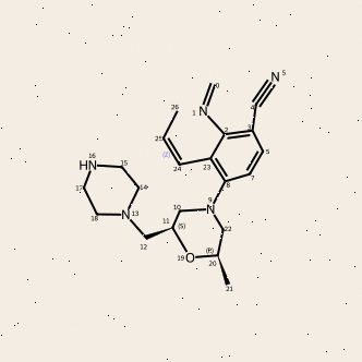 C=Nc1c(C#N)ccc(N2C[C@H](CN3CCNCC3)O[C@H](C)C2)c1/C=C\C